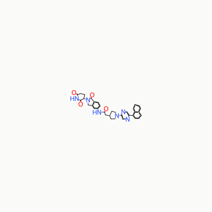 O=C1CCC(N2Cc3cc(NC(=O)CC4CCN(c5cnc(-c6cccc7ccccc67)cn5)CC4)ccc3C2=O)C(=O)N1